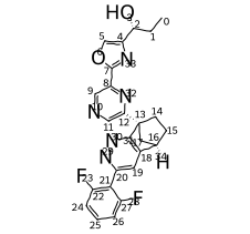 CC[C@@H](O)c1coc(-c2cncc([C@]34CC[C@H](C3)c3cc(-c5c(F)cccc5F)nnc34)n2)n1